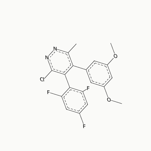 COc1cc(OC)cc(-c2c(C)nnc(Cl)c2-c2c(F)cc(F)cc2F)c1